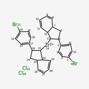 Brc1ccc(C2CC3C=CC=CC3[CH]2[Zr+2][CH]2C(c3ccc(Br)cc3)CC3C=CC=CC32)cc1.[Cl-].[Cl-]